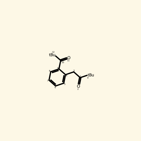 CC(C)(C)C(=O)Cc1ccccc1C(=O)C(C)(C)C